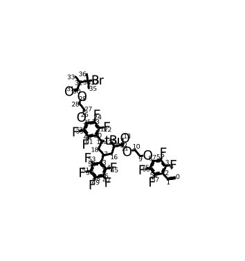 C=Cc1c(F)c(F)c(OCCOC(=O)C(C)CC(CC(c2c(F)c(F)c(OCCOC(=O)C(C)C(C)(C)Br)c(F)c2F)C(C)(C)C)c2c(F)c(F)c(F)c(F)c2F)c(F)c1F